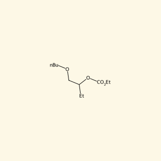 CCCCOCC(CC)OC(=O)OCC